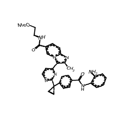 COCCNC(=O)c1ccc2nc(C)c(-c3ccnc(C4(c5ccc(C(=O)Nc6ccccc6N)cc5)CC4)n3)n2c1